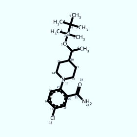 CC(O[Si](C)(C)C(C)(C)C)C1CCN(c2ccc(Cl)cc2C(N)=O)CC1